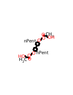 C=C(CO)C(=O)OCCOc1ccc(-c2ccc(OCCOC(=O)C(=C)CO)c(CCCCC)c2)cc1CCCCC